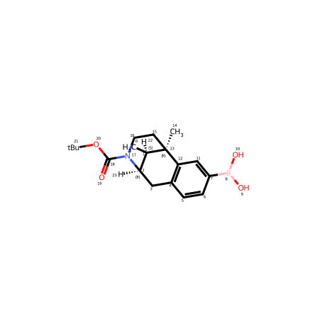 C[C@@H]1[C@H]2Cc3ccc(B(O)O)cc3[C@]1(C)CCN2C(=O)OC(C)(C)C